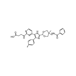 CC1(CNC(=O)c2ccccc2)COC(c2nc(-c3ccc(F)cc3)c(-c3ccnc(NCCC(=O)O)n3)[nH]2)OC1